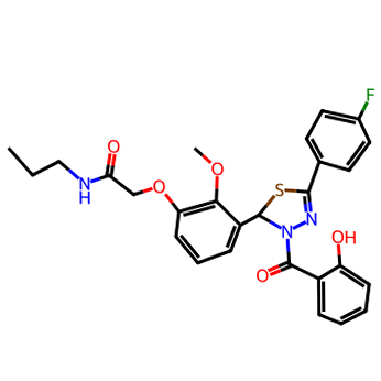 CCCNC(=O)COc1cccc(C2SC(c3ccc(F)cc3)=NN2C(=O)c2ccccc2O)c1OC